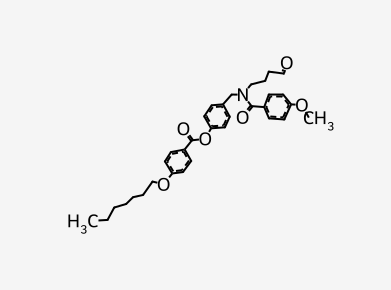 CCCCCCCOc1ccc(C(=O)Oc2ccc(CN(CCCC=O)C(=O)c3ccc(OC)cc3)cc2)cc1